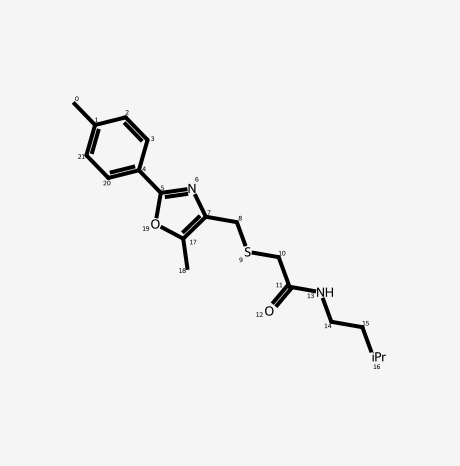 Cc1ccc(-c2nc(CSCC(=O)NCCC(C)C)c(C)o2)cc1